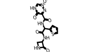 O=C(NC(C(=O)NC1CNC1=O)c1cccs1)c1n[n+]([O-])c[nH]c1=O